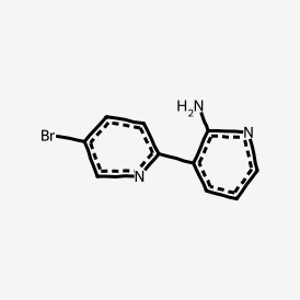 Nc1ncccc1-c1ccc(Br)cn1